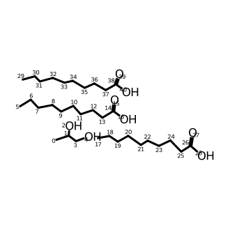 CC(O)CO.CCCCCCCCCC(=O)O.CCCCCCCCCC(=O)O.CCCCCCCCCC(=O)O